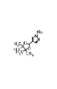 CC(C)(C)n1cc(C2OC(C)(C)C(C)(C)O2)cn1